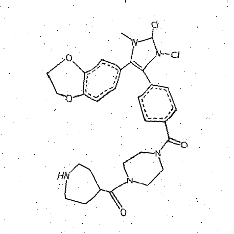 CN1C(c2ccc3c(c2)OCCO3)=C(c2ccc(C(=O)N3CCN(C(=O)C4CCNCC4)CC3)cc2)N(Cl)C1Cl